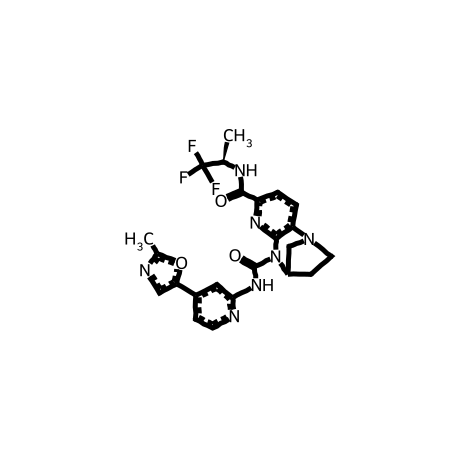 Cc1ncc(-c2ccnc(NC(=O)N3c4nc(C(=O)N[C@H](C)C(F)(F)F)ccc4N4CCC3C4)c2)o1